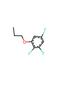 CCCOc1[c]c(F)cc(F)c1F